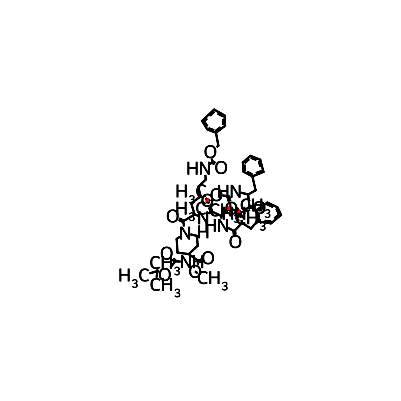 COC(=O)C1(NC(=O)OC(C)(C)C)CCN(C(=O)C(CCCCNC(=O)OCc2ccccc2)NC(=O)C(CC(C)C)NC(=O)C(Cc2ccccc2)NC(=O)C(Cc2ccccc2)NC(=O)OC(C)(C)C)CC1